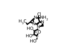 CCC1C2=NC(N)(Cl)c3ncn([C@@H]4O[C@H](CO)[C@@H](O)[C@H]4O)c3N21